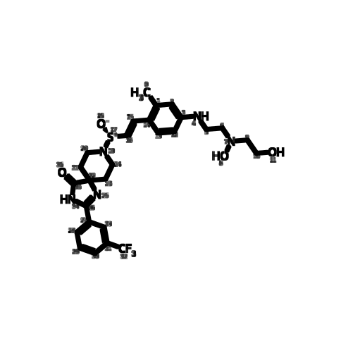 Cc1cc(NCCN(O)CCO)ccc1/C=C/[S@+]([O-])N1CCC2(CC1)N=C(c1cccc(C(F)(F)F)c1)NC2=O